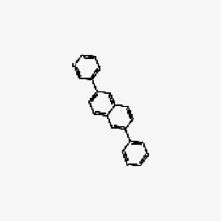 c1cncc(-c2ccc3cc(-c4cccnc4)ccc3c2)c1